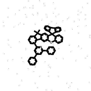 CC1(C)c2cc3c(cc2-c2c(-c4cc(-c5ccccc5)cc(-c5ccccc5)n4)cccc21)Oc1ccccc1C31c2ccccc2-c2ccccc21